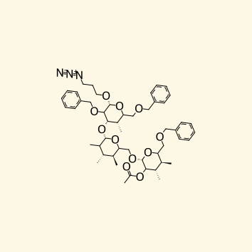 CC(=O)OC1[C@H](OCC2O[C@@H](O[C@@H]3C(OCc4ccccc4)[C@H](OCCCN=[N+]=[N-])OC(COCc4ccccc4)[C@@H]3C)C(C)[C@@H](C)[C@@H]2C)OC(COCc2ccccc2)[C@@H](C)[C@@H]1C